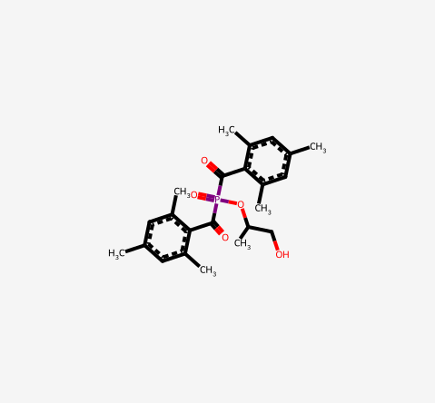 Cc1cc(C)c(C(=O)P(=O)(OC(C)CO)C(=O)c2c(C)cc(C)cc2C)c(C)c1